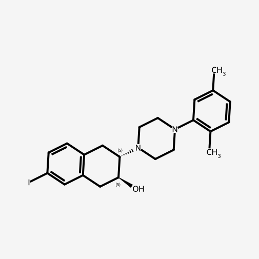 Cc1ccc(C)c(N2CCN([C@H]3Cc4ccc(I)cc4C[C@@H]3O)CC2)c1